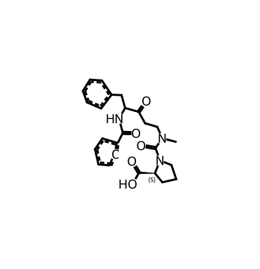 CN(CCC(=O)C(Cc1ccccc1)NC(=O)c1ccccc1)C(=O)N1CCC[C@H]1C(=O)O